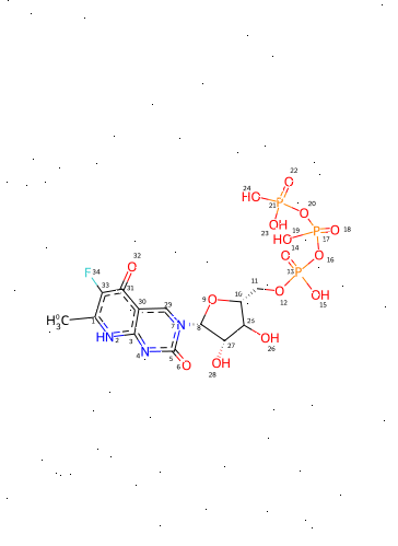 Cc1[nH]c2nc(=O)n([C@@H]3O[C@H](COP(=O)(O)OP(=O)(O)OP(=O)(O)O)C(O)[C@@H]3O)cc2c(=O)c1F